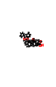 C[C@]1(C(=O)OC(c2ccccc2)c2ccccc2)CC[C@]2(C)CC[C@]3(C)C(=CC(=O)[C@@H]4[C@@]5(C)CCC(=O)[C@@](C)(CO)[C@@H]5CC[C@]43C)[C@@H]2C1